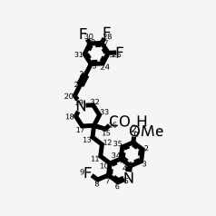 COc1ccc2ncc(CF)c(CCCC3(CC(=O)O)CCN(CC#Cc4cc(F)c(F)c(F)c4)CC3)c2c1